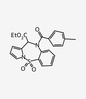 CCOC(=O)C1c2cccn2S(=O)(=O)c2ccccc2N1C(=O)c1ccc(C)cc1